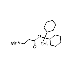 CSCCC(=O)OC(C)(C1CCCCC1)C1CCCCC1